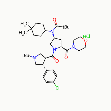 CC1(C)CCC(N(C(=O)C(C)(C)C)[C@H]2C[C@@H](C(=O)N3CCOCC3)N(C(=O)[C@@H]3CN(C(C)(C)C)C[C@H]3c3ccc(Cl)cc3)C2)CC1.Cl